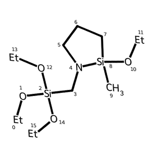 CCO[Si](CN1CCC[Si]1(C)OCC)(OCC)OCC